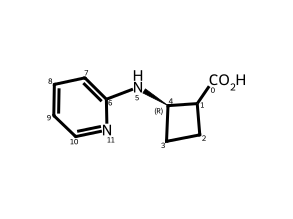 O=C(O)C1CC[C@H]1Nc1ccccn1